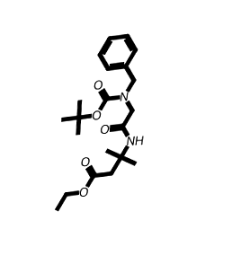 CCOC(=O)CC(C)(C)NC(=O)CN(Cc1ccccc1)C(=O)OC(C)(C)C